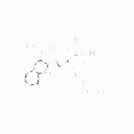 CCCCC[C@@H](O)c1cc2ccccc2nc1/C=C/[C@H]1OC(C)(C)O[C@H]1CCCC(=O)O